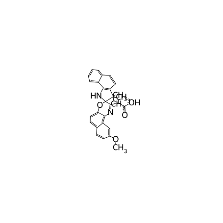 COc1ccc2ccc3c(c2c1)N=C(C(C)C(=O)O)C1(Nc2c(ccc4ccccc24)C1(C)C)O3